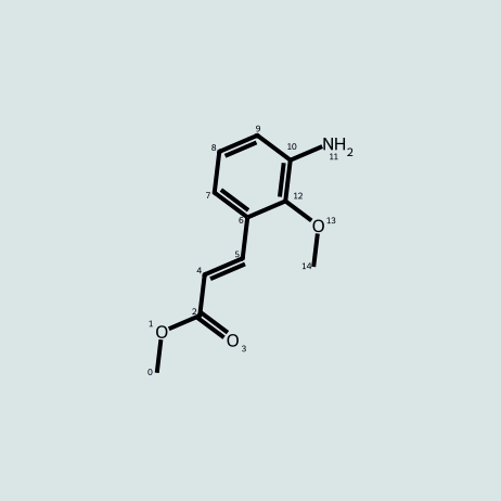 COC(=O)C=Cc1cccc(N)c1OC